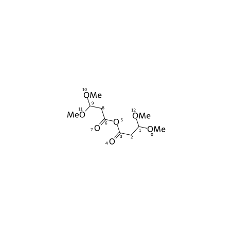 COC(CC(=O)OC(=O)CC(OC)OC)OC